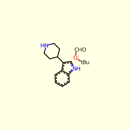 CC(C)(C)OC=O.c1ccc2c(C3CCNCC3)c[nH]c2c1